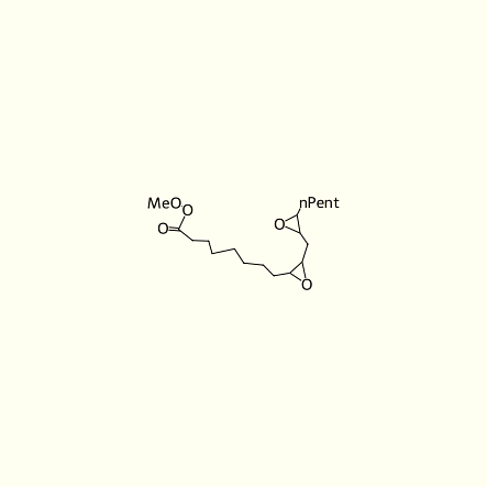 CCCCCC1OC1CC1OC1CCCCCCCC(=O)OOC